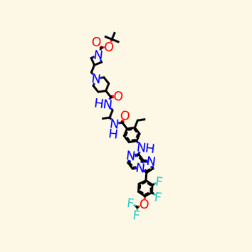 CCc1cc(Nc2nccn3c(-c4ccc(OC(F)F)c(F)c4F)cnc23)ccc1C(=O)NC(C)CNC(=O)C1CCN(CC2CN(C(=O)OC(C)(C)C)C2)CC1